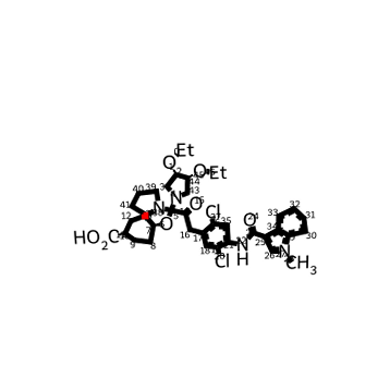 CCO[C@H]1CN(C(O[C@H]2CC[C@H](C(=O)O)CC2)(C(=O)Cc2cc(Cl)c(NC(=O)c3cn(C)c4ccccc34)cc2Cl)N2CCCC2)C[C@H]1OCC